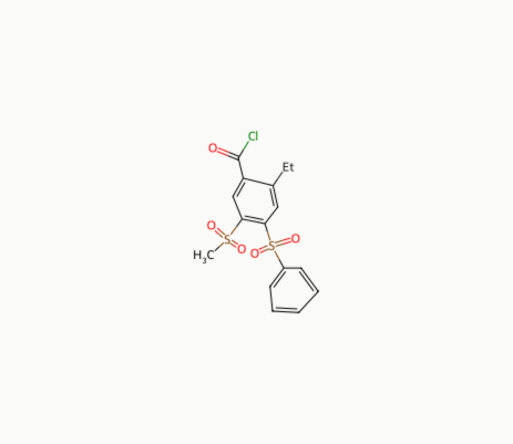 CCc1cc(S(=O)(=O)c2ccccc2)c(S(C)(=O)=O)cc1C(=O)Cl